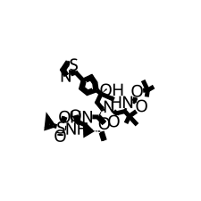 C=C[C@@H]1C[C@]1(NC(=O)[C@@H]1C[C@@](O)(c2ccc(-c3nccs3)cc2)CN1C(=O)[C@@H](NC(=O)OC(C)(C)C)C(C)(C)C)C(=O)NS(=O)(=O)C1CC1